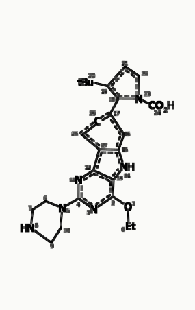 CCOc1nc(N2CCNCC2)nc2c1[nH]c1cc(-c3c(C(C)(C)C)ccn3C(=O)O)ccc12